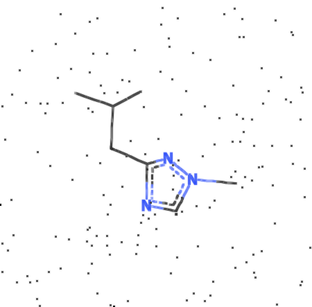 CC(C)Cc1n[c]n(C)n1